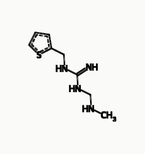 CNCNC(=N)NCc1cccs1